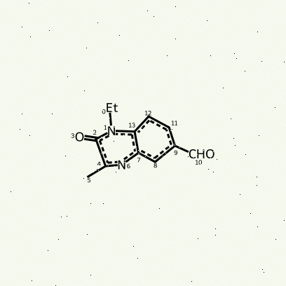 CCn1c(=O)c(C)nc2cc(C=O)ccc21